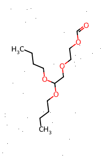 CCCCOC(COCCOC=O)OCCCC